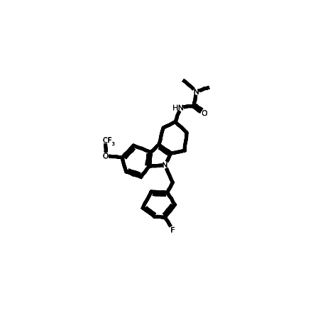 CN(C)C(=O)NC1CCc2c(c3cc(OC(F)(F)F)ccc3n2Cc2cccc(F)c2)C1